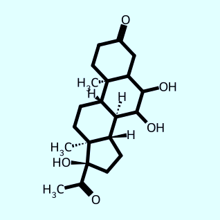 CC(=O)[C@@]1(O)CC[C@H]2[C@@H]3C(O)C(O)C4CC(=O)CC[C@]4(C)[C@H]3CC[C@@]21C